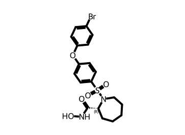 O=C(NO)[C@H]1CCCCCN1S(=O)(=O)c1ccc(Oc2ccc(Br)cc2)cc1